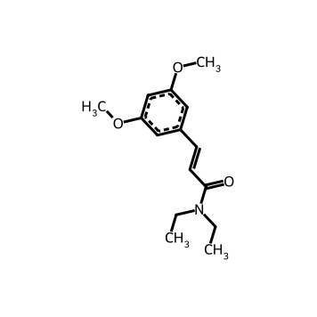 CCN(CC)C(=O)C=Cc1cc(OC)cc(OC)c1